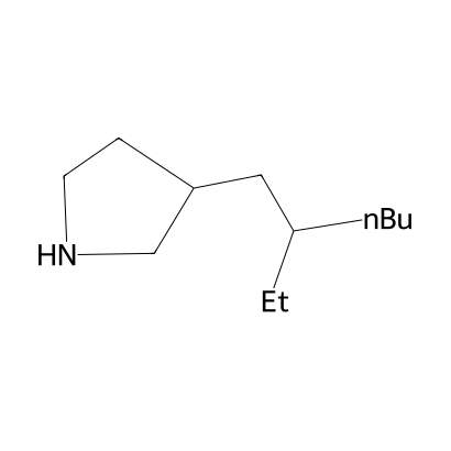 CCCCC(CC)CC1CCNC1